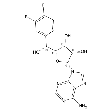 Nc1ncnc2c1ncn2[C@@H]1O[C@H]([C@H](O)c2ccc(F)c(F)c2)[C@H](O)[C@@H]1O